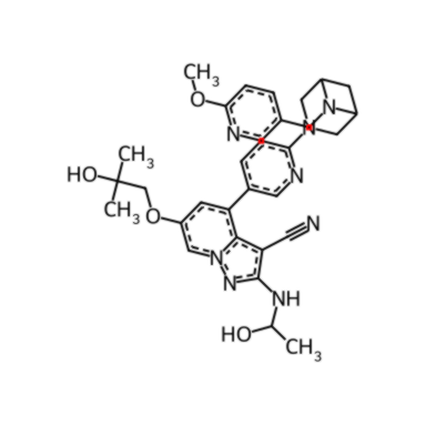 COc1ccc(CN2C3CC2CN(c2ccc(-c4cc(OCC(C)(C)O)cn5nc(NC(C)O)c(C#N)c45)cn2)C3)cn1